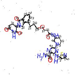 Cc1cc(Nc2nc(N3CCC[C@H](NC(=O)CCOCCCc4cccc5c4CN(C4CCC(=O)NC4=O)C5=O)C3)cnc2C(N)=O)sn1